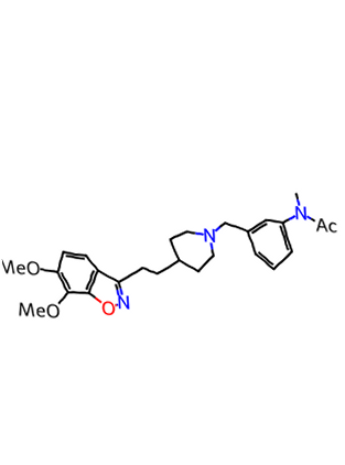 COc1ccc2c(CCC3CCN(Cc4cccc(N(C)C(C)=O)c4)CC3)noc2c1OC